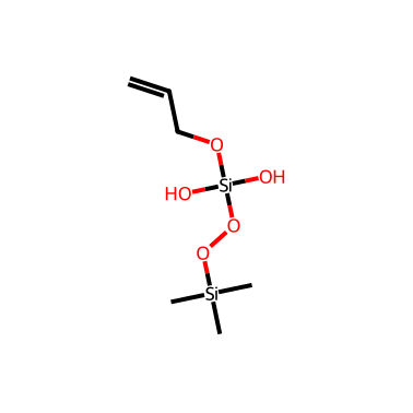 C=CCO[Si](O)(O)OO[Si](C)(C)C